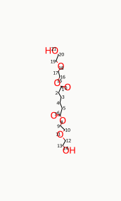 O=C(CCCCC(=O)OCCOCCO)OCCOCCO